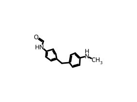 CNc1ccc(Cc2ccc(NC=O)cc2)cc1